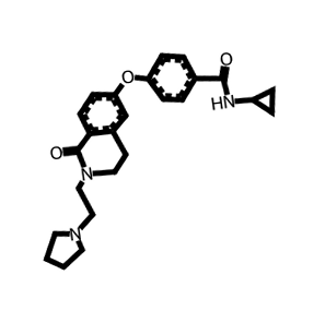 O=C(NC1CC1)c1ccc(Oc2ccc3c(c2)CCN(CCN2CCCC2)C3=O)cc1